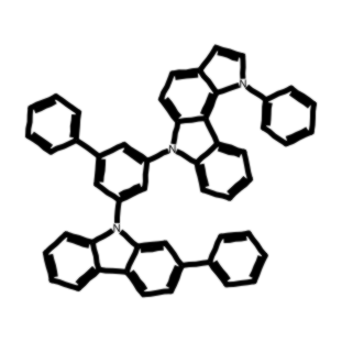 c1ccc(-c2cc(-n3c4ccccc4c4ccc(-c5ccccc5)cc43)cc(-n3c4ccccc4c4c5c(ccc43)ccn5-c3ccccc3)c2)cc1